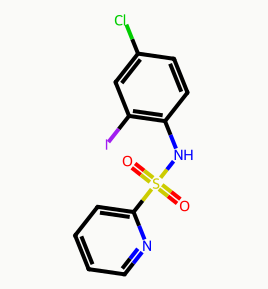 O=S(=O)(Nc1ccc(Cl)cc1I)c1ccccn1